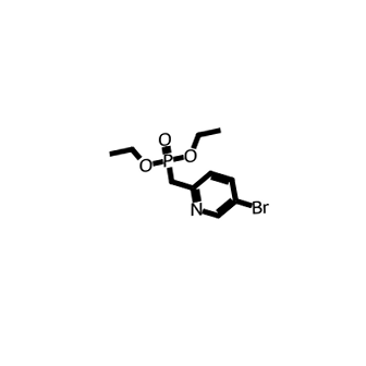 CCOP(=O)(Cc1ccc(Br)cn1)OCC